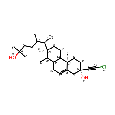 CC[C@H](C(C)CCC(C)(C)O)[C@@]1(C)CCC2C(CC=C3C[C@](O)(C#CCl)CC[C@@]32C)C1C